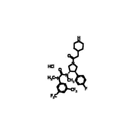 CN(C(=O)N(C)[C@@H]1CN(C(=O)CC2CCNCC2)C[C@H]1c1ccc(F)cc1)c1cc(C(F)(F)F)cc(C(F)(F)F)c1.Cl